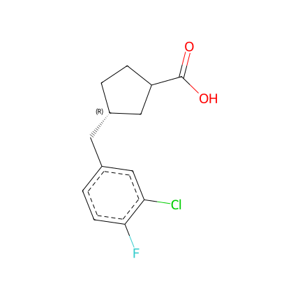 O=C(O)C1CC[C@@H](Cc2ccc(F)c(Cl)c2)C1